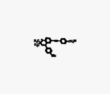 CCOC(=O)c1ccc(C#Cc2ccc3c(c2)C(c2ccc(C(C)(C)C)cc2)=CC(C)(C)S3)cc1